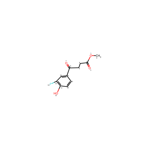 COC(=O)CCC(=O)c1ccc(O)c(F)c1